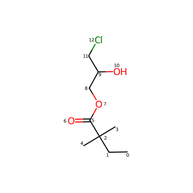 CCC(C)(C)C(=O)OCC(O)CCl